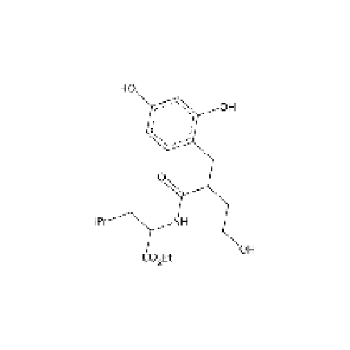 CCOC(=O)C(CC(C)C)NC(=O)C(CCO)Cc1ccc(O)cc1O